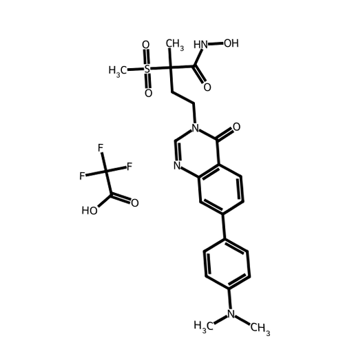 CN(C)c1ccc(-c2ccc3c(=O)n(CCC(C)(C(=O)NO)S(C)(=O)=O)cnc3c2)cc1.O=C(O)C(F)(F)F